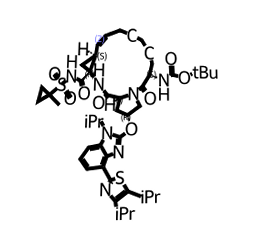 CC(C)c1nc(-c2cccc3c2nc(O[C@@H]2C[C@H]4C(=O)N[C@]5(C(=O)NS(=O)(=O)C6(C)CC6)C[C@H]5/C=C\CCCCC[C@H](NC(=O)OC(C)(C)C)C(=O)N4C2)n3C(C)C)sc1C(C)C